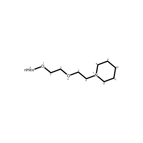 CCCCCCOCCOCCN1CCCCC1